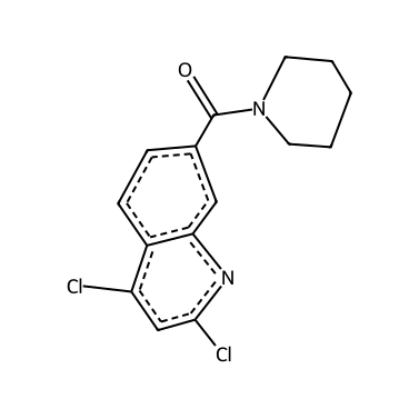 O=C(c1ccc2c(Cl)cc(Cl)nc2c1)N1CCCCC1